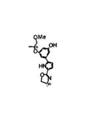 COC[C@H](C)Oc1cc(O)cc(-c2ccc(C3=N[C@H](C)CO3)[nH]2)c1